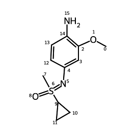 COc1cc(N=S(C)(=O)C2CC2)ccc1N